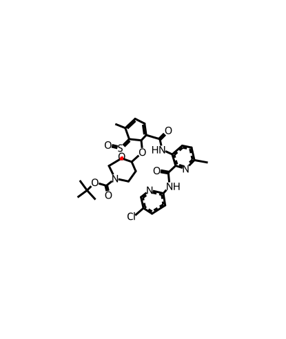 CC1=CC=C(C(=O)Nc2ccc(C)nc2C(=O)Nc2ccc(Cl)cn2)C(OC2CCN(C(=O)OC(C)(C)C)CC2)C1=S(=O)=O